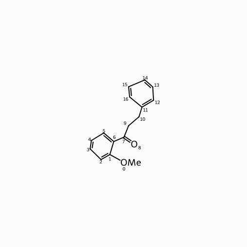 COc1ccccc1C(=O)CCc1ccccc1